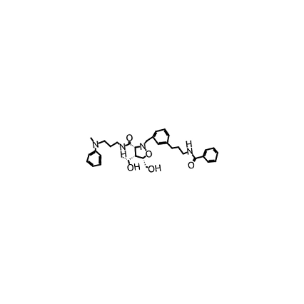 C[C@@H](O)[C@H]1[C@@H](CO)ON(Cc2cccc(CCCNC(=O)c3ccccc3)c2)[C@H]1C(=O)NCCCN(C)c1ccccc1